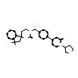 C[C@@H](c1ccc(-c2ccn(C3CCOC3)c(=O)c2)cc1)N1CCC(CC(C)(C)O)(c2ccccc2)OC1=O